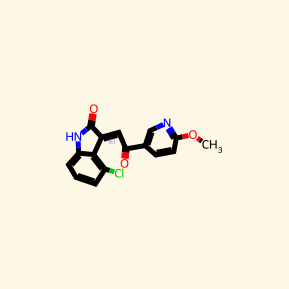 COc1ccc(C(=O)/C=C2/C(=O)Nc3cccc(Cl)c32)cn1